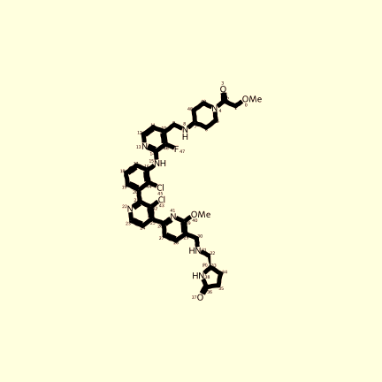 COCC(=O)N1CCC(NCc2ccnc(Nc3cccc(-c4nccc(-c5ccc(CNC[C@H]6CCC(=O)N6)c(OC)n5)c4Cl)c3Cl)c2F)CC1